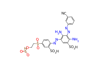 N#Cc1cccc(/N=N/c2c(N)c(/N=N/c3ccc(S(=O)(=O)CCO[SH](=O)=O)cc3S(=O)(=O)O)cc(S(=O)(=O)O)c2N)c1